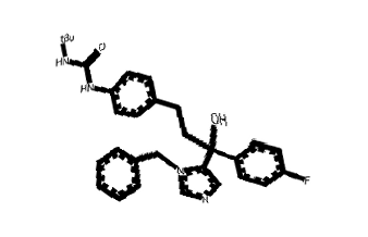 CC(C)(C)NC(=O)Nc1ccc(CCC(O)(c2ccc(F)cc2)c2cncn2Cc2ccccc2)cc1